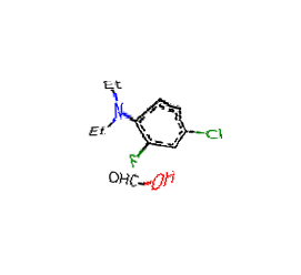 CCN(CC)c1ccc(Cl)cc1F.O=CO